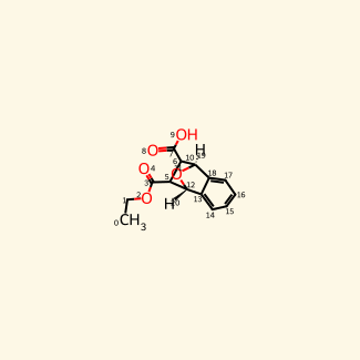 CCOC(=O)C1C(C(=O)O)[C@@H]2O[C@@H]1c1ccccc12